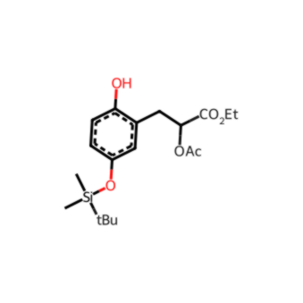 CCOC(=O)C(Cc1cc(O[Si](C)(C)C(C)(C)C)ccc1O)OC(C)=O